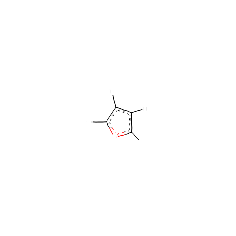 [2H]c1oc(C)c([2H])c1[2H]